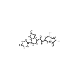 Cc1nc2c(F)cc(NC(=O)c3ccc(N4CCNCC4)c4cn(C)nc34)cn2c1C